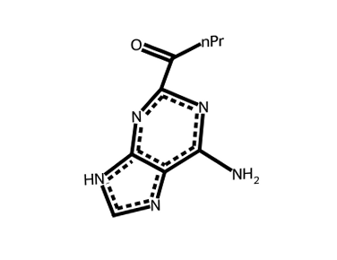 CCCC(=O)c1nc(N)c2nc[nH]c2n1